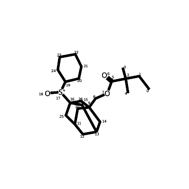 CCC(C)(C)C(=O)OCC12CC3CC(C1)CC([S+]([O-])C1CCCCC1)(C3)C2